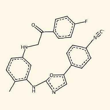 [C-]#[N+]c1ccc(-c2cnc(Nc3cc(NCC(=O)c4ccc(F)cc4)ccc3C)o2)cc1